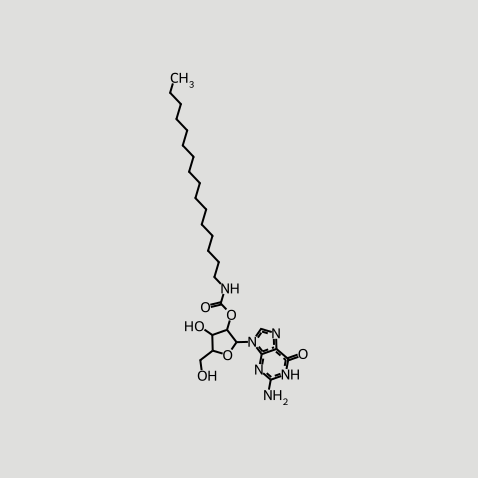 CCCCCCCCCCCCCCCCNC(=O)OC1C(O)C(CO)OC1n1cnc2c(=O)[nH]c(N)nc21